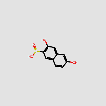 O=S(O)c1cc2ccc(O)cc2cc1O